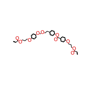 C=CC(=O)OCCCOc1ccc(OCOCCc2ccc(OC(=O)c3ccc(OCCCOC(=O)C=C)cc3)cc2)cc1